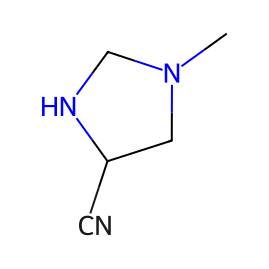 CN1CNC(C#N)C1